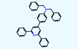 c1ccc(CN(Cc2ccccc2)c2ccc(-c3cc(-c4ccccc4)nc(-c4ccccc4)c3)cc2)cc1